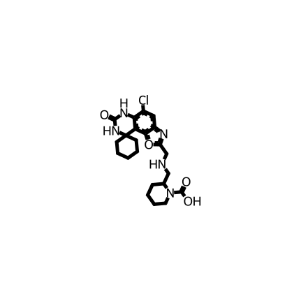 O=C1Nc2c(Cl)cc3nc(CNCC4CCCCN4C(=O)O)oc3c2C2(CCCCC2)N1